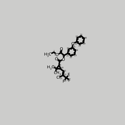 CCOC(=O)C(OC(=O)C1C(C=C(Cl)C(F)(F)F)C1(C)C)c1cccc(Oc2ccccc2)c1